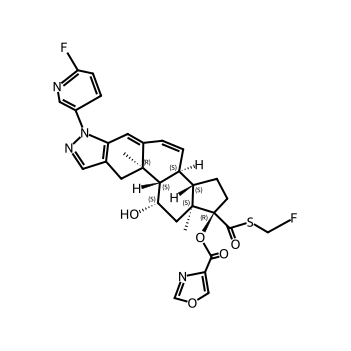 C[C@]12Cc3cnn(-c4ccc(F)nc4)c3C=C1C=C[C@@H]1[C@@H]2[C@@H](O)C[C@@]2(C)[C@H]1CC[C@]2(OC(=O)c1cocn1)C(=O)SCF